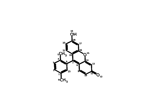 Cc1ccc(C)c(-c2c3ccc(=O)cc-3oc3cc(O)ccc23)c1